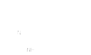 C1=NCCN1.c1ccc2c(c1)CCCC2